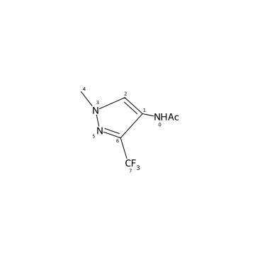 CC(=O)Nc1cn(C)nc1C(F)(F)F